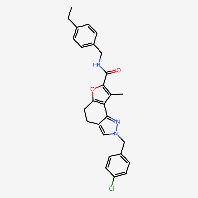 CCc1ccc(CNC(=O)c2oc3c(c2C)-c2nn(Cc4ccc(Cl)cc4)cc2CC3)cc1